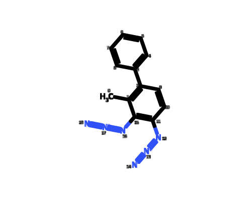 Cc1c(-c2ccccc2)ccc(N=[N+]=[N-])c1N=[N+]=[N-]